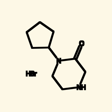 Br.O=C1CNCCN1C1CCCC1